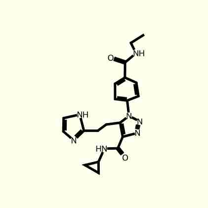 CCNC(=O)c1ccc(-n2nnc(C(=O)NC3CC3)c2CCc2ncc[nH]2)cc1